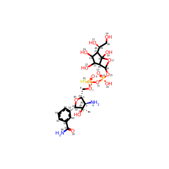 C[C@@]1(O)[C@H](N)[C@@H](COP(=O)(S)OP(=O)(O)OC2OC3(O)C2C(O)C(O)C3[C@@H](O)CO)O[C@H]1c1cccc(C(N)=O)c1